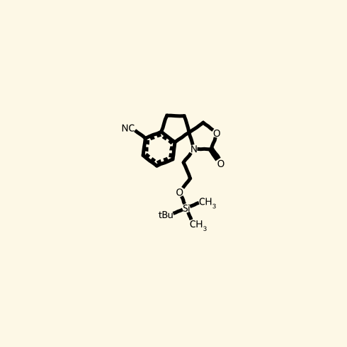 CC(C)(C)[Si](C)(C)OCCN1C(=O)OCC12CCc1c(C#N)cccc12